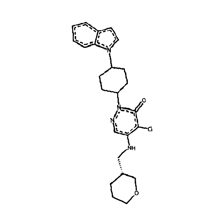 O=c1c(Cl)c(NC[C@H]2CCCOC2)cnn1C1CCC(n2ccc3ccccc32)CC1